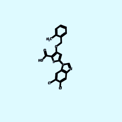 Cc1ccccc1COc1cc(-n2cnc3cc(Cl)c(Cl)cc32)sc1C(=O)O